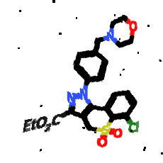 CCOC(=O)c1nn(-c2ccc(CN3CCOCC3)cc2)c2c1CS(=O)(=O)c1c(Cl)cccc1-2